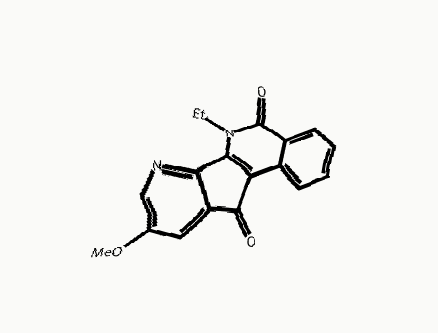 CCn1c2c(c3ccccc3c1=O)C(=O)c1cc(OC)cnc1-2